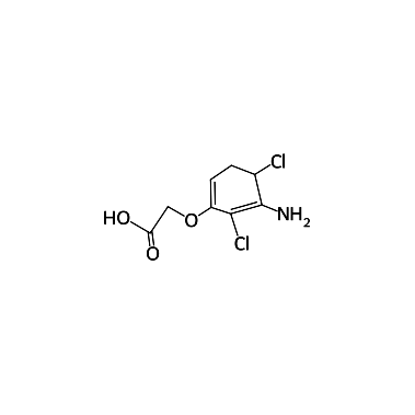 NC1=C(Cl)C(OCC(=O)O)=CCC1Cl